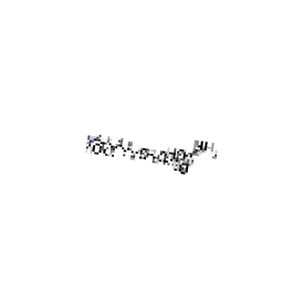 CCCCCCCC/C=C\CCCCCCCCOCCOCCOP(=O)(O)OCCN